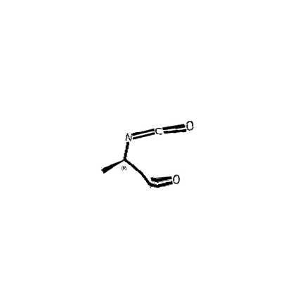 C[C@H]([C]=O)N=C=O